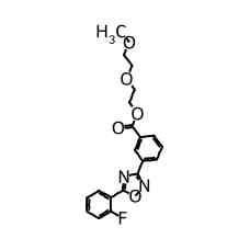 COCCOCCOC(=O)c1cccc(-c2noc(-c3ccccc3F)n2)c1